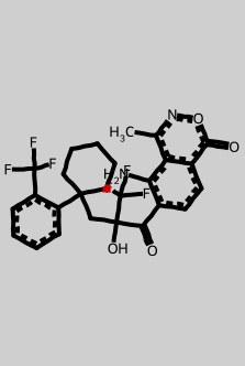 Cc1noc(=O)c2ccc(C(=O)C(O)(CC3(c4ccccc4C(F)(F)F)CCCCC3)C(F)(F)F)c(N)c12